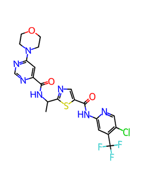 CC(NC(=O)c1cc(N2CCOCC2)ncn1)c1ncc(C(=O)Nc2cc(C(F)(F)F)c(Cl)cn2)s1